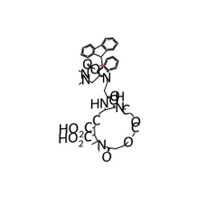 CC1C(C(=O)O)C(C(=O)O)CCC(NC(=O)CCn2c(CN(C)N(C)C(=O)OCC3c4ccccc4-c4ccccc43)cc3ccccc32)C(=O)NCCOCCOCCC(=O)N1C